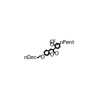 [CH2]CCCCCCCCCCCOc1ccc2cc(-c3ccc(CCCCC)cc3OC(F)(F)F)c(=O)oc2c1